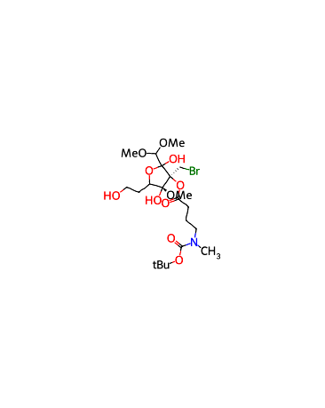 COC(OC)C1(O)OC(CCO)[C@](O)(OC)[C@]1(CBr)OC(=O)CCCN(C)C(=O)OC(C)(C)C